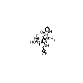 COc1nc(NCC2CC(F)(F)C2)c(F)cc1CNC(=O)[C@@H]1CCCN1.O=C(O)C(F)(F)F